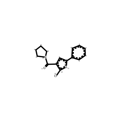 O=C(c1cc(-c2ccccc2)sc1Cl)N1CCCC1